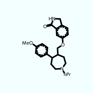 CCCN1CCC(COc2ccc3c(c2)C(=O)NC3)C(c2ccc(OC)cc2)CC1